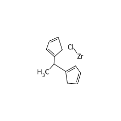 CC(C1=CC=CC1)C1=CC=CC1.[Cl][Zr]